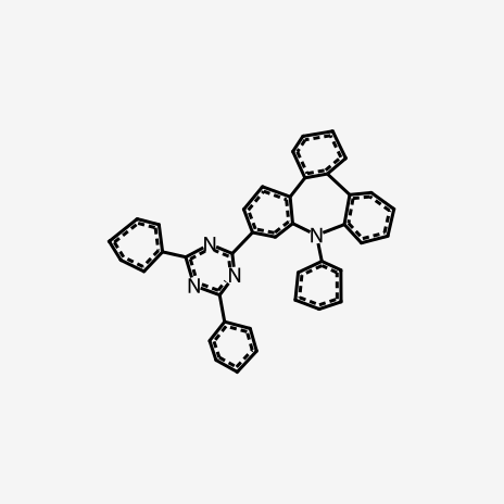 c1ccc(-c2nc(-c3ccccc3)nc(-c3ccc4c(c3)N(c3ccccc3)c3ccccc3-c3ccccc3-4)n2)cc1